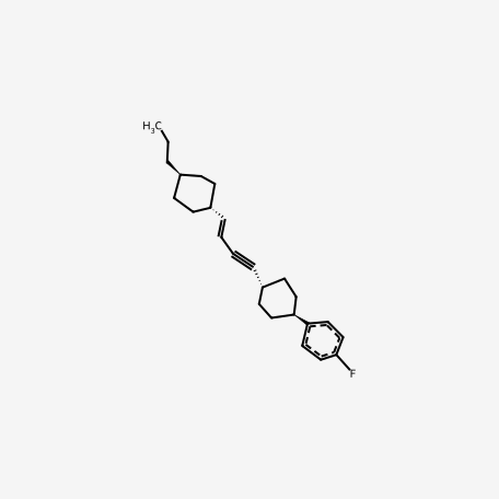 CCC[C@H]1CC[C@H](C=CC#C[C@H]2CC[C@H](c3ccc(F)cc3)CC2)CC1